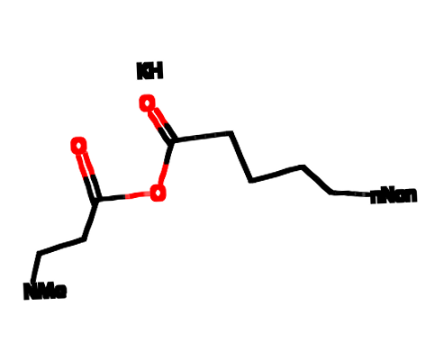 CCCCCCCCCCCCCC(=O)OC(=O)CCNC.[KH]